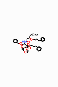 CCCCCCCCCCC[C@H](CC(=O)N[C@H]1[C@H](OCc2ccccc2)O[C@@H]2COC(C)(C)O[C@H]2[C@@H]1OC(=O)CCCc1ccccc1)OCCCCc1ccccc1